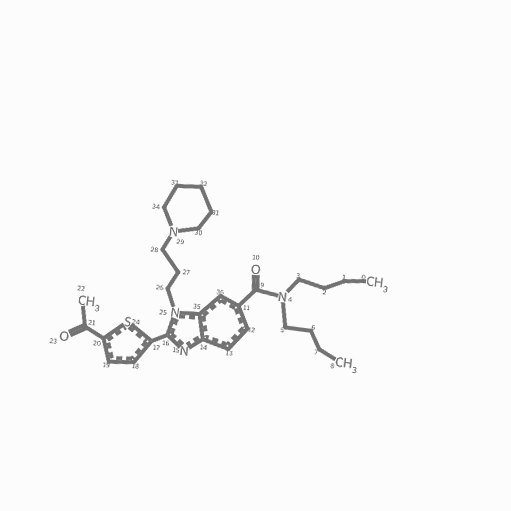 CCCCN(CCCC)C(=O)c1ccc2nc(-c3ccc(C(C)=O)s3)n(CCCN3CCCCC3)c2c1